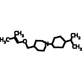 CC(C)=COCC1CCN(C2CCC(C(C)C)CC2)CC1